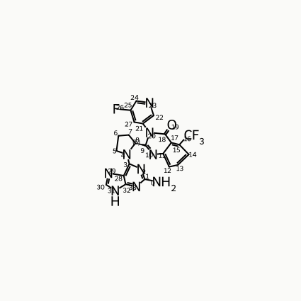 Nc1nc(N2CCC[C@H]2c2nc3cccc(C(F)(F)F)c3c(=O)n2-c2cncc(F)c2)c2nc[nH]c2n1